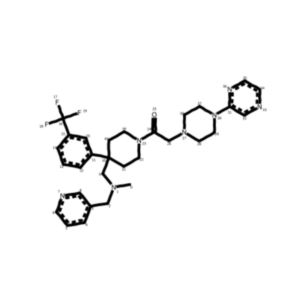 CN(Cc1cccnc1)CC1(c2cccc(C(F)(F)F)c2)CCN(C(=O)CN2CCN(c3cnccn3)CC2)CC1